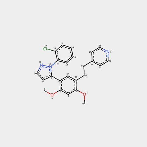 COc1cc(OC)c(-c2ccnn2-c2ccccc2Cl)cc1CCc1ccncc1